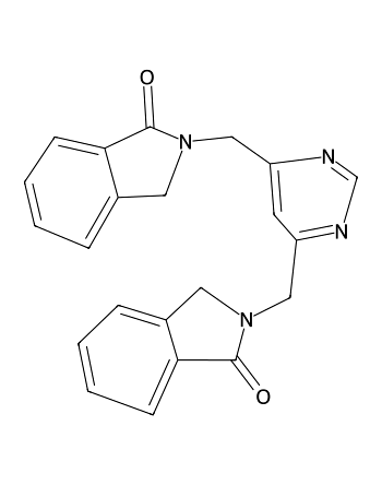 O=C1c2ccccc2CN1Cc1cc(CN2Cc3ccccc3C2=O)ncn1